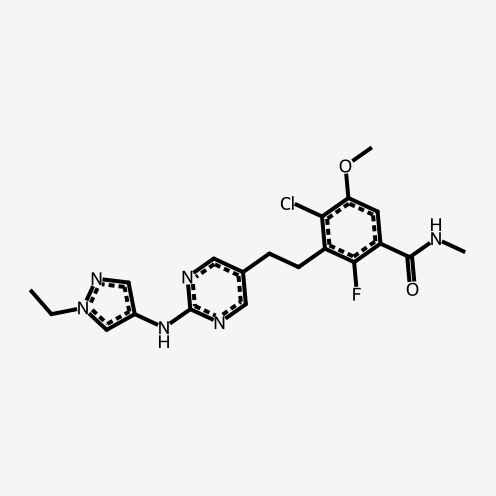 CCn1cc(Nc2ncc(CCc3c(F)c(C(=O)NC)cc(OC)c3Cl)cn2)cn1